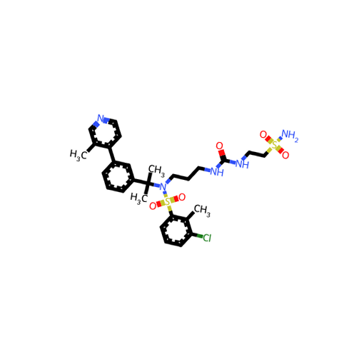 Cc1cnccc1-c1cccc(C(C)(C)N(CCCNC(=O)NCCS(N)(=O)=O)S(=O)(=O)c2cccc(Cl)c2C)c1